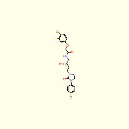 O=C(COc1ccc(Cl)c(F)c1)NC[C@@H](O)CCN1CCN(c2ccc(Cl)cc2)C1=O